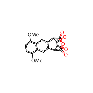 COc1ccc(OC)c2cc3c4c(=O)oc(=O)c(c3cc12)C(=O)C4=O